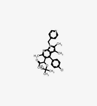 CC(=O)C(OC(C)(C)C)c1c(C)nc2c(c(C)c(C)n2Cc2ccncc2)c1-c1ccc(Cl)cc1